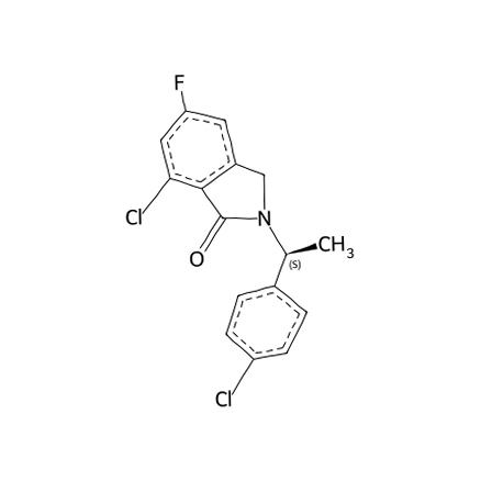 C[C@@H](c1ccc(Cl)cc1)N1Cc2cc(F)cc(Cl)c2C1=O